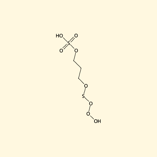 O=S(=O)(O)OCCCOSOOO